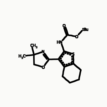 CC1(C)COC(c2c(NC(=O)OC(C)(C)C)sc3c2CCCC3)=N1